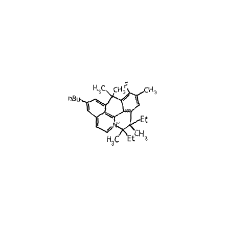 CCCCc1cc2c3c4[n+](ccc3c1)C(C)(CC)C(C)(CC)c1cc(C)c(F)c(c1-4)C2(C)C